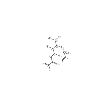 C=C(C)C(=O)OC(F)C(F)C(F)C(F)F.C=CC(=O)O